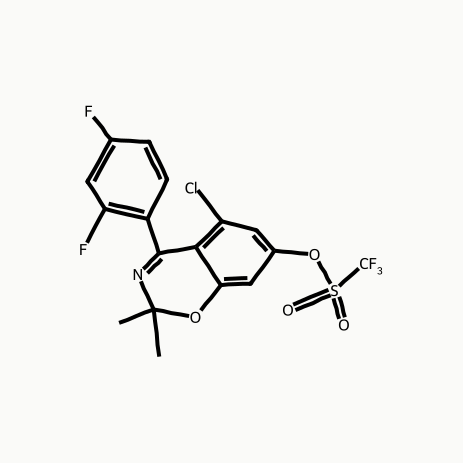 CC1(C)N=C(c2ccc(F)cc2F)c2c(Cl)cc(OS(=O)(=O)C(F)(F)F)cc2O1